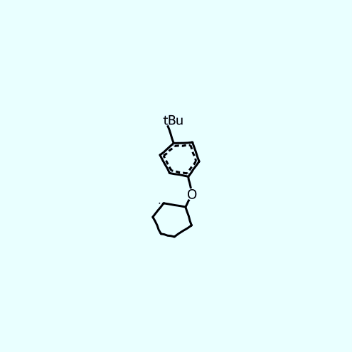 CC(C)(C)c1ccc(OC2[CH]CCCC2)cc1